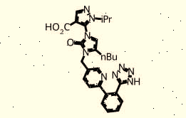 CCCCc1cn(-c2c(C(=O)O)cnn2C(C)C)c(=O)n1Cc1ccc(-c2ccccc2-c2nnn[nH]2)nc1